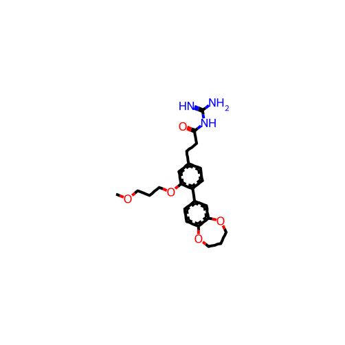 COCCCOc1cc(CCC(=O)NC(=N)N)ccc1-c1ccc2c(c1)OCCCO2